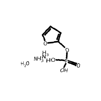 N.N.O.O=P(O)(O)Oc1ccco1